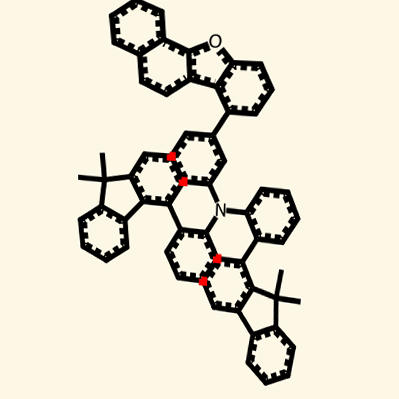 CC1(C)c2ccccc2-c2c(-c3ccccc3N(c3cccc(-c4cccc5oc6c7ccccc7ccc6c45)c3)c3ccccc3-c3cccc4c3C(C)(C)c3ccccc3-4)cccc21